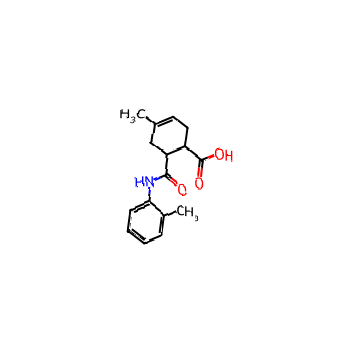 CC1=CCC(C(=O)O)C(C(=O)Nc2ccccc2C)C1